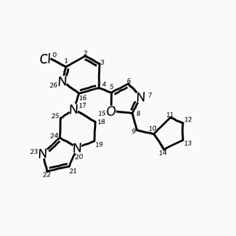 Clc1ccc(-c2cnc(CC3CCCC3)o2)c(N2CCn3ccnc3C2)n1